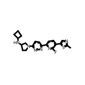 Cc1ncc(-c2ccc(-c3ccc(N4CCC(NC5CCC5)C4)nn3)nc2F)s1